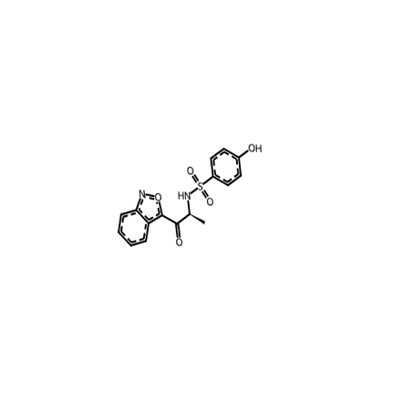 C[C@H](NS(=O)(=O)c1ccc(O)cc1)C(=O)c1onc2ccccc12